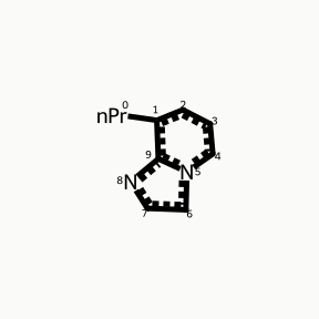 CCCc1cccn2ccnc12